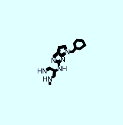 CN/C=C(\C=N)Nc1ncc2ccn(CC3CCCCC3)c2n1